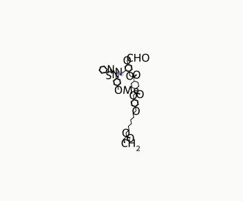 C=CC(=O)OCCCCCCOc1ccc(OC(=O)[C@H]2CC[C@H](C(=O)Oc3ccc(OC=O)cc3/C=N/N(c3ccc(OC)cc3)c3nc4ccccc4s3)CC2)cc1